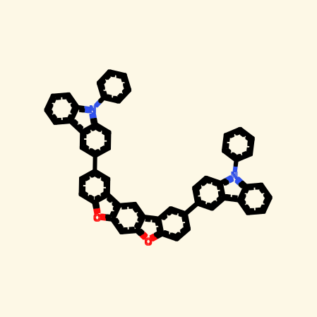 c1ccc(-n2c3ccccc3c3cc(-c4ccc5oc6cc7oc8ccc(-c9ccc%10c(c9)c9ccccc9n%10-c9ccccc9)cc8c7cc6c5c4)ccc32)cc1